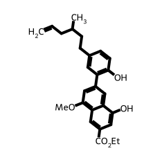 C=CCC(C)CCc1ccc(O)c(-c2cc(OC)c3cc(C(=O)OCC)cc(O)c3c2)c1